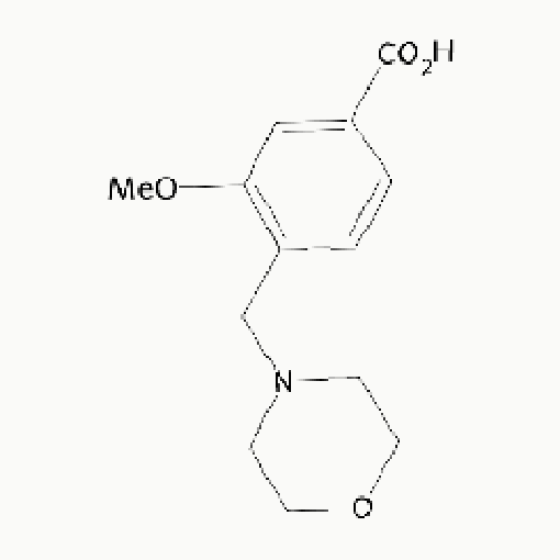 COc1cc(C(=O)O)ccc1CN1CCOCC1